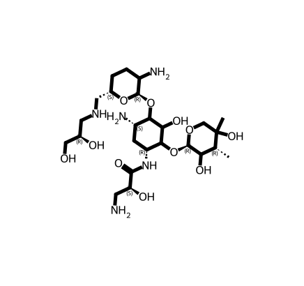 C[C@@H]1C(O)[C@@H](OC2C(O)C(O[C@H]3O[C@H](CNC[C@@H](O)CO)CCC3N)[C@@H](N)C[C@H]2NC(=O)[C@@H](O)CN)OCC1(C)O